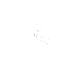 COC(=O)c1cc(-c2ccc(F)c(Cl)c2)ncn1